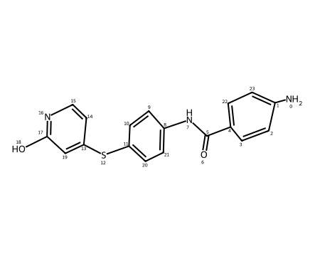 Nc1ccc(C(=O)Nc2ccc(Sc3ccnc(O)c3)cc2)cc1